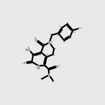 CN(C)C(=O)c1[nH]c(=O)c(O)c2c1CCN(Cc1ccc(F)cc1)C2=O